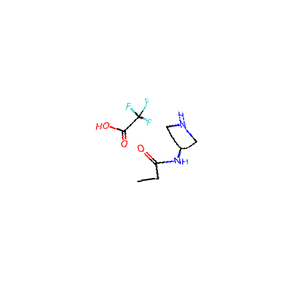 CCC(=O)NC1CNC1.O=C(O)C(F)(F)F